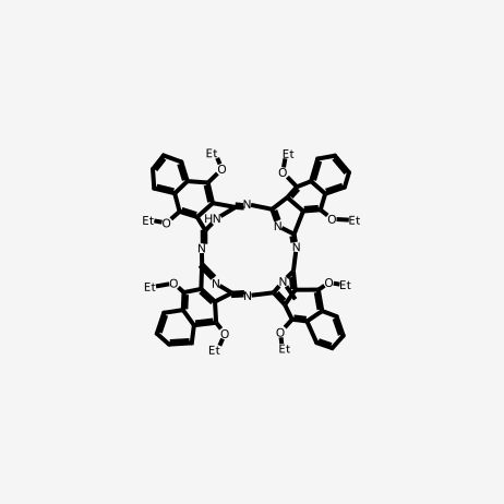 CCOc1c2c(c(OCC)c3ccccc13)-c1nc-2nc2[nH]c(nc3nc(nc4c5c(OCC)c6ccccc6c(OCC)c5c(n1)n4C)-c1c-3c(OCC)c3ccccc3c1OCC)c1c(OCC)c3ccccc3c(OCC)c21